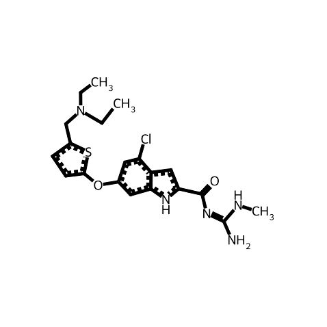 CCN(CC)Cc1ccc(Oc2cc(Cl)c3cc(C(=O)N=C(N)NC)[nH]c3c2)s1